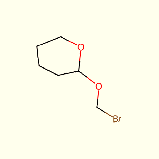 BrCOC1CCCCO1